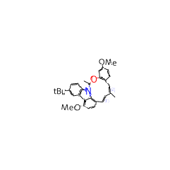 COc1ccc2c(c1)OC(C)n1c3ccc(C(C)(C)C)cc3c3c(OC)ccc(c31)/C=C/C(C)=C\2